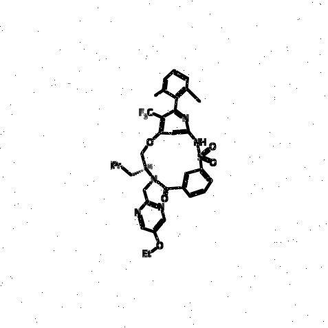 CCOc1cnc(CN2C(=O)c3cccc(c3)S(=O)(=O)Nc3cc(c(C(F)(F)F)c(-c4c(C)cccc4C)n3)OC[C@H]2CC(C)C)nc1